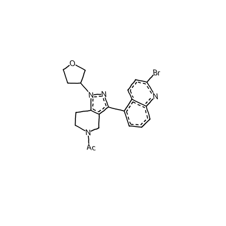 CC(=O)N1CCc2c(c(-c3cccc4nc(Br)ccc34)nn2C2CCOC2)C1